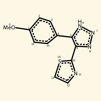 COc1ccc(-c2[nH]nnc2-c2nccs2)cc1